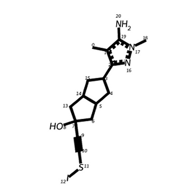 Cc1c(C2CC3CC(O)(C#CSI)CC3C2)nn(C)c1N